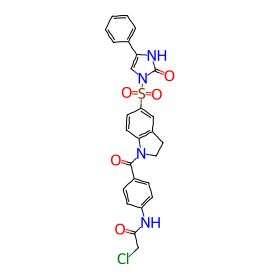 O=C(CCl)Nc1ccc(C(=O)N2CCc3cc(S(=O)(=O)n4cc(-c5ccccc5)[nH]c4=O)ccc32)cc1